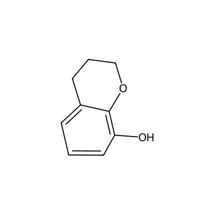 Oc1cccc2c1OCCC2